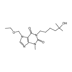 CCOCn1cnc2c1c(=O)n(CCCCC(C)(C)O)c(=O)n2C